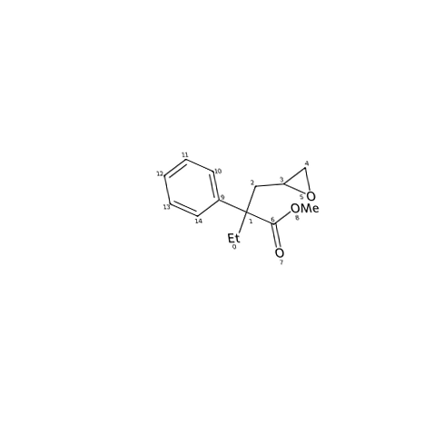 CCC(CC1CO1)(C(=O)OC)c1ccccc1